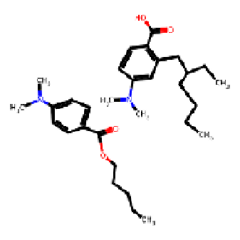 CCCCC(CC)Cc1cc(N(C)C)ccc1C(=O)O.CCCCCOC(=O)c1ccc(N(C)C)cc1